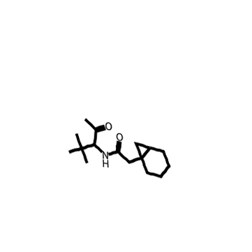 CC(=O)C(NC(=O)CC12CCCCC1C2)C(C)(C)C